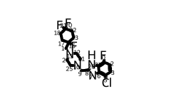 Fc1ccc(Cl)c2nc(CN3CCN(CC4(F)CCC(F)(F)CC4)CC3)[nH]c12